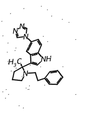 C[C@]1(c2c[nH]c3ccc(-n4cnnc4)cc23)CCCN1CCc1ccccc1